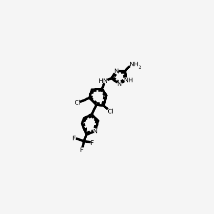 Nc1nc(Nc2cc(Cl)c(-c3ccc(C(F)(F)F)nc3)c(Cl)c2)n[nH]1